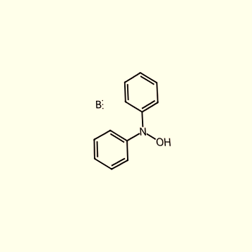 ON(c1ccccc1)c1ccccc1.[B]